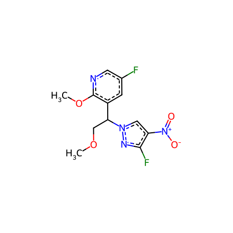 COCC(c1cc(F)cnc1OC)n1cc([N+](=O)[O-])c(F)n1